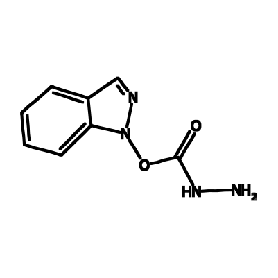 NNC(=O)On1ncc2ccccc21